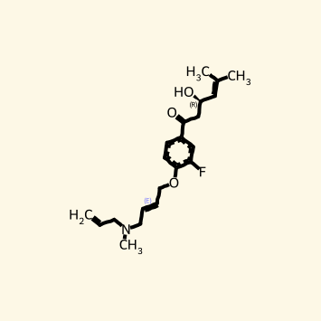 C=CCN(C)C/C=C/COc1ccc(C(=O)C[C@@H](O)C=C(C)C)cc1F